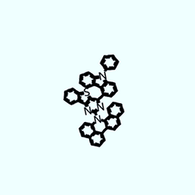 c1ccc(-n2c3ccccc3c3c(-c4nc(N5c6c(ccc7ccccc67)-c6cccc7cccc5c67)nc5c4sc4ccccc45)cccc32)cc1